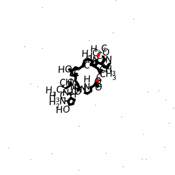 CCn1c(-c2cccnc2[C@H](C)OC)c2c3cc(ccc31)-c1cc(O)cc(c1)C[C@H](NC(=O)[C@H](C(C)C)N(C)C(=O)[C@H]1CC[C@@H](O)[C@H]1N)C(=O)N1CCC[C@@](C3=CS3)(N1)C(=O)OCC(C)(C)C2